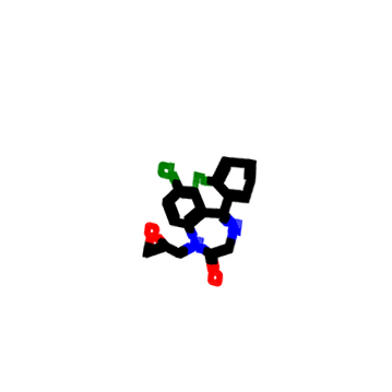 O=C1CN=C(c2ccccc2F)c2cc(Cl)ccc2N1CC1CO1